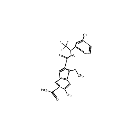 CCn1c(C(=O)NC(c2cccc(Cl)c2)C(F)(F)F)cc2cc(C(=O)O)c(C)cc21